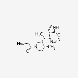 C[C@H]1CCN(C(=O)CC#N)C[C@H]1N(C)C1=NC=NOc2[nH]ccc21